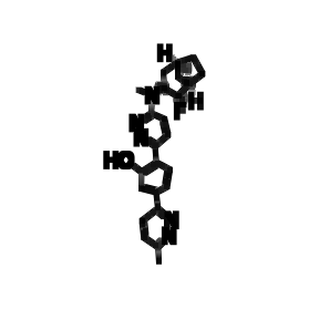 Cc1ccc(-c2ccc(-c3ccc(N(C)[C@@H]4C[C@H]5CC[C@H](C5)[C@@H]4F)nn3)c(O)c2)nn1